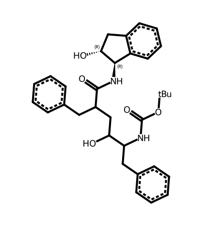 CC(C)(C)OC(=O)NC(Cc1ccccc1)C(O)CC(Cc1ccccc1)C(=O)N[C@@H]1c2ccccc2C[C@H]1O